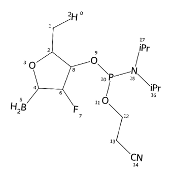 [2H]CC1OC(B)C(F)C1OP(OCCC#N)N(C(C)C)C(C)C